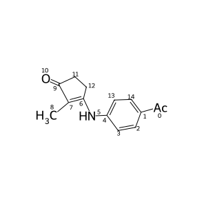 CC(=O)c1ccc(NC2=C(C)C(=O)CC2)cc1